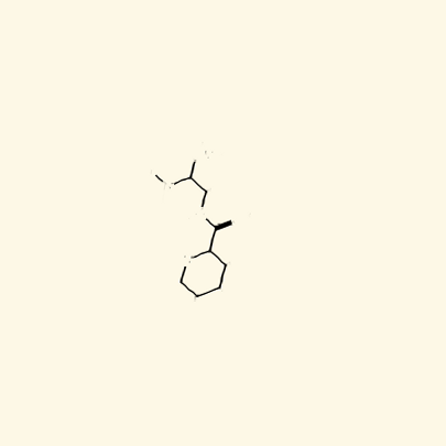 CCNC(COC(=O)C1CCCCN1)OC